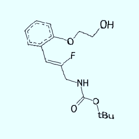 CC(C)(C)OC(=O)NC/C(F)=C/c1ccccc1OCCO